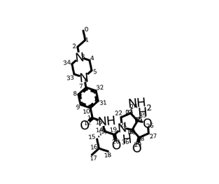 CCCN1CCN(c2ccc(C(=O)N[C@@H](CC(C)C)C(=O)N3C[C@H](N)[C@H]4OCC(=O)[C@H]43)cc2)CC1